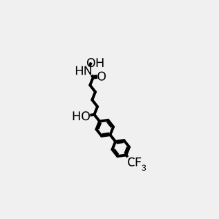 O=C(CCCCC(O)c1ccc(-c2ccc(C(F)(F)F)cc2)cc1)NO